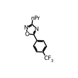 CCCc1noc(-c2ccc(C(F)(F)F)cc2)n1